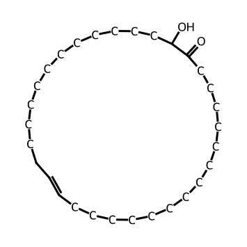 O=C1CCCCCCCCCCCCCC/C=C/CCCCCCCCCCCCC1O